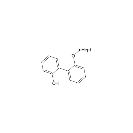 CCCCCCCOc1ccccc1-c1ccccc1O